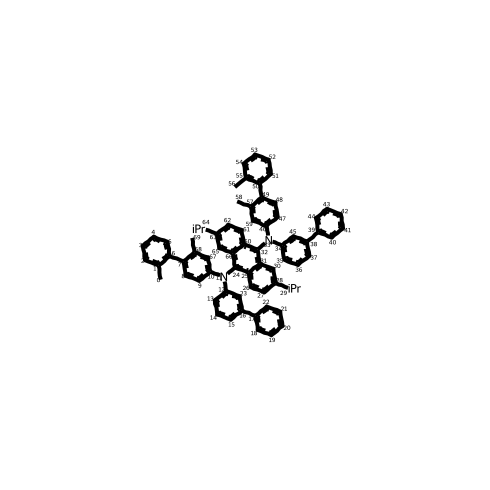 Cc1ccccc1-c1ccc(N(c2cccc(-c3ccccc3)c2)c2c3ccc(C(C)C)cc3c(N(c3cccc(-c4ccccc4)c3)c3ccc(-c4ccccc4C)c(C)c3)c3ccc(C(C)C)cc23)cc1C